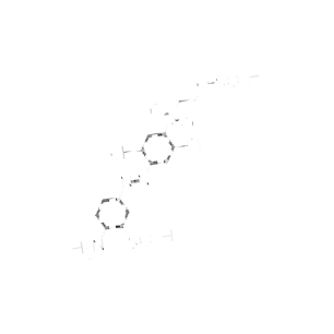 Nc1ccc(N=Nc2cc(Cl)c(S(=O)(=O)CCOS(=O)(=O)O)cc2Cl)cc1S(=O)(=O)O